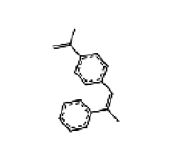 C=C(C)c1ccc(C=C(C)c2ccccc2)cc1